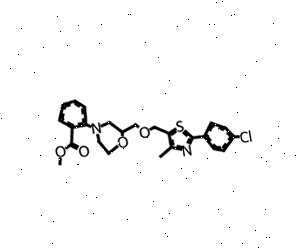 COC(=O)c1ccccc1N1CCOC(COCc2sc(-c3ccc(Cl)cc3)nc2C)C1